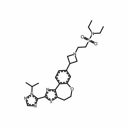 CCN(CC)S(=O)(=O)CCN1CC(c2ccc3c(c2)OCCc2sc(-c4ncnn4C(C)C)nc2-3)C1